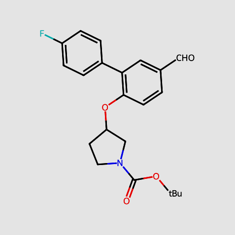 CC(C)(C)OC(=O)N1CCC(Oc2ccc(C=O)cc2-c2ccc(F)cc2)C1